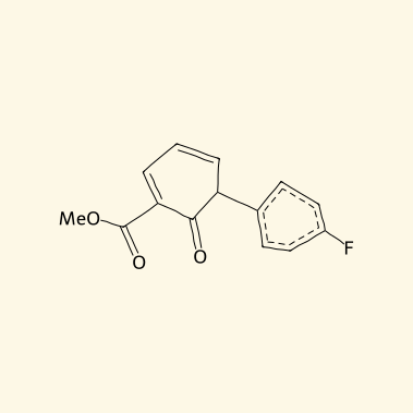 COC(=O)C1=CC=CC(c2ccc(F)cc2)C1=O